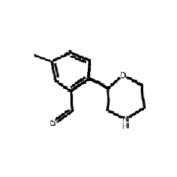 Cc1ccc(C2CNCCO2)c(C=O)c1